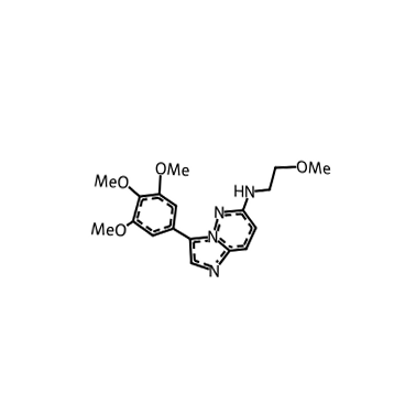 COCCNc1ccc2ncc(-c3cc(OC)c(OC)c(OC)c3)n2n1